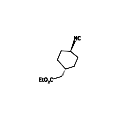 [C-]#[N+][C@H]1CC[C@H](CC(=O)OCC)CC1